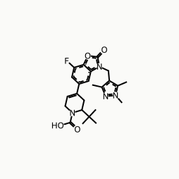 Cc1nn(C)c(C)c1Cn1c(=O)oc2c(F)cc(C3=CCN(C(=O)O)C(C(C)(C)C)C3)cc21